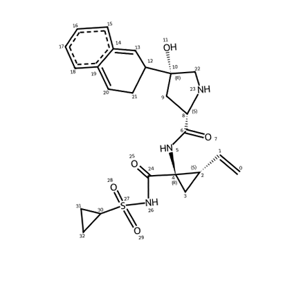 C=C[C@@H]1C[C@]1(NC(=O)[C@@H]1C[C@@](O)(C2C=c3ccccc3=CC2)CN1)C(=O)NS(=O)(=O)C1CC1